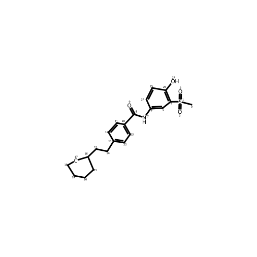 CS(=O)(=O)c1cc(NC(=O)c2ccc(CCC3CCCCC3)cc2)ccc1O